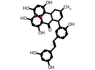 CC1=CC(c2cc(/C=C/c3cc(O)cc(O)c3)ccc2O)C(C(=O)c2ccc(O)cc2O)C(c2ccc(O)cc2O)C1